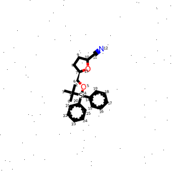 CC(C)(C)[Si](OC[C@H]1CCC(C#N)O1)(c1ccccc1)c1ccccc1